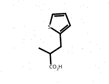 CC(Cc1cccs1)C(=O)O